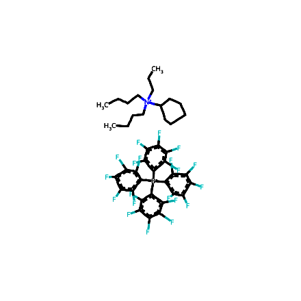 CCCC[N+](CCC)(CCCC)C1CCCCC1.Fc1c(F)c(F)c([B-](c2c(F)c(F)c(F)c(F)c2F)(c2c(F)c(F)c(F)c(F)c2F)c2c(F)c(F)c(F)c(F)c2F)c(F)c1F